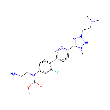 COC(=O)N(CCN)c1ccc(-c2ccc(C3=NN(CCN(C)C)NN3C)nc2)c(F)c1